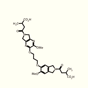 COc1cc2c(cc1OCCCOc1nc3c(nc1OC)CN(C(=O)CC(C)C(=O)O)C3)CN(C(=O)CC(C)C(=O)O)C2